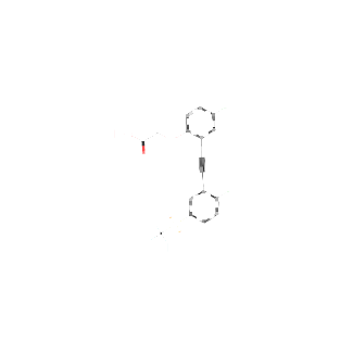 O=C(O)COc1ccc(Cl)cc1C#Cc1cc(S(=O)(=O)C(F)(F)F)ccc1Cl